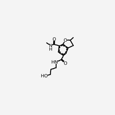 CNC(=O)c1cc(C(=O)NCCCO)cc2c1OC(C)C2